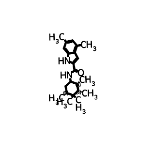 Cc1cc(C)c2cc(C(=O)NC3C[C@@H](C)C(C)(C)[C@@H](C)[C@@H]3C)[nH]c2c1